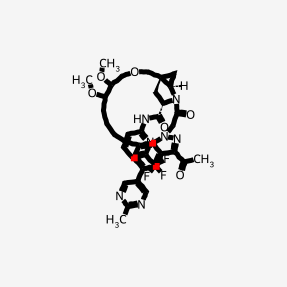 COC1CCCCc2cc(-c3cnc(C)nc3)cc3c(C(C)=O)nn(c23)CC(=O)N2[C@H](C(=O)Nc3cccc(C(F)(F)F)n3)C[C@@]3(COCC1OC)C[C@@H]23